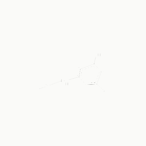 C[CH2][Zn][CH2]C.Cc1cc(C)cc(C)c1